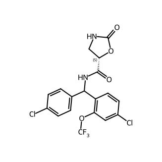 O=C1NC[C@@H](C(=O)NC(c2ccc(Cl)cc2)c2ccc(Cl)cc2OC(F)(F)F)O1